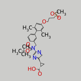 Cc1cc(OCCCS(C)(=O)=O)cc(C)c1-c1cccc(CN(C(=O)OC(C)(C)C)c2cnc([C@H]3C[C@@H]3C(=O)O)cn2)c1